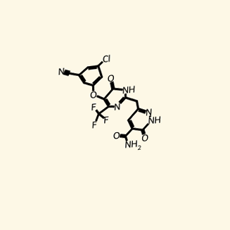 N#Cc1cc(Cl)cc(Oc2c(C(F)(F)F)nc(Cc3cc(C(N)=O)c(=O)[nH]n3)[nH]c2=O)c1